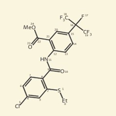 CCSc1cc(Cl)ccc1C(=O)Nc1ccc(C(F)(C(F)(F)F)C(F)(F)F)cc1C(=O)OC